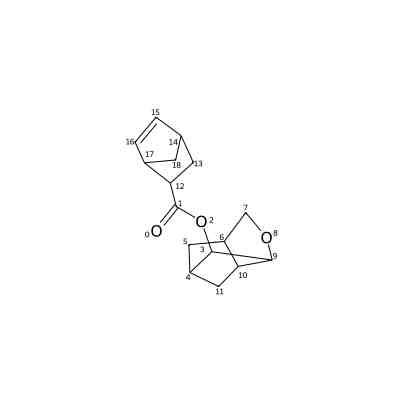 O=C(OC1C2CC3COC1C3C2)C1CC2C=CC1C2